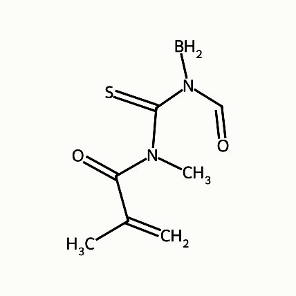 BN(C=O)C(=S)N(C)C(=O)C(=C)C